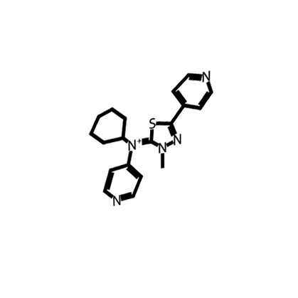 Cn1nc(-c2ccncc2)sc1=[N+](c1ccncc1)C1CCCCC1